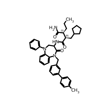 CCC[C@H](C(N)=O)[C@@H](CC1CCCC1)C(=O)NC1CN(c2ccccc2)c2ccccc2N(Cc2cccc(-c3ccc(C)cc3)c2)C1=O